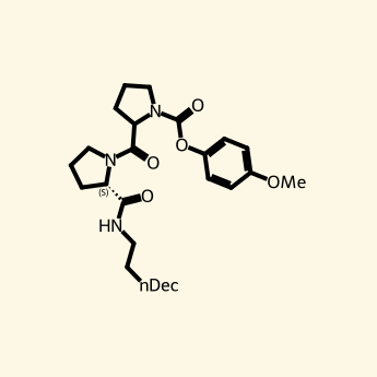 CCCCCCCCCCCCNC(=O)[C@@H]1CCCN1C(=O)C1CCCN1C(=O)Oc1ccc(OC)cc1